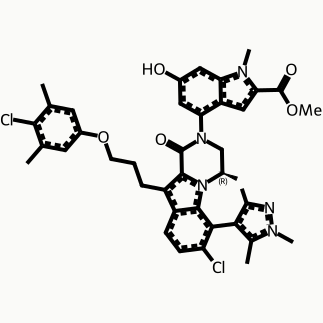 COC(=O)c1cc2c(N3C[C@@H](C)n4c(c(CCCOc5cc(C)c(Cl)c(C)c5)c5ccc(Cl)c(-c6c(C)nn(C)c6C)c54)C3=O)cc(O)cc2n1C